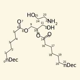 CCCCCCCCCCCCCCCC(=O)OCC(CO)OC(=O)CCCCCCCCCCCCCCC.NCCO